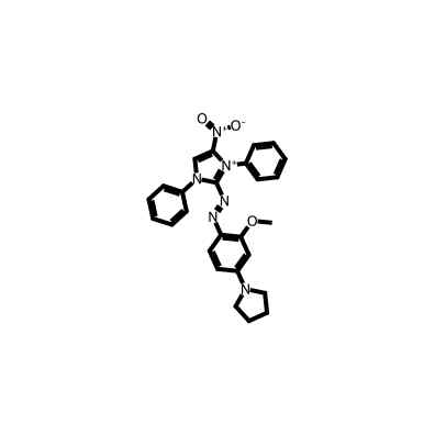 COc1cc(N2CCCC2)ccc1/N=N/c1n(-c2ccccc2)cc([N+](=O)[O-])[n+]1-c1ccccc1